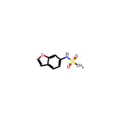 CS(=O)(=O)Nc1ccc2c[c]oc2c1